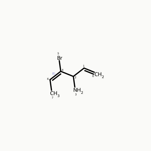 C=CC(N)/C(Br)=C\C